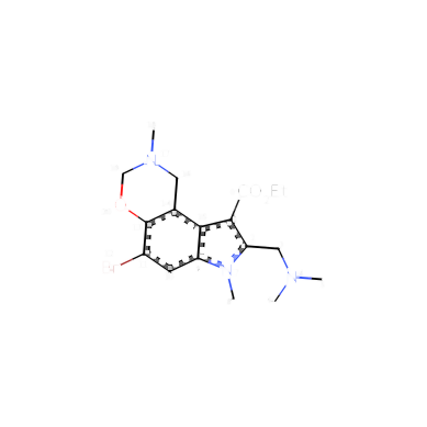 CCOC(=O)c1c(CN(C)C)n(C)c2cc(Br)c3c(c12)CN(C)CO3